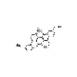 Cc1c2c(c(CC(C)(C)C)c3ccc(CC(C)C)cc13)Oc1cc3ccc(CC(C)(C)C)cc3c3cc[n+](C)c-2c13